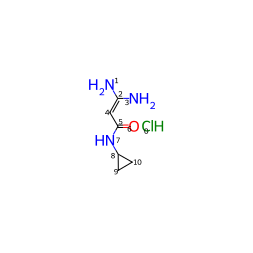 Cl.NC(N)=CC(=O)NC1CC1